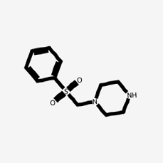 O=S(=O)(CN1CCNCC1)c1ccccc1